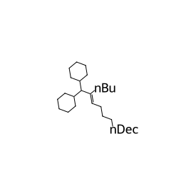 CCCCCCCCCCCCCC=C(CCCC)C(C1CCCCC1)C1CCCCC1